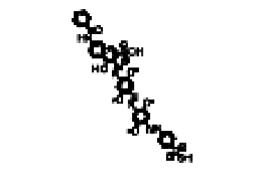 COc1cc(N=Nc2cc(OC)c(N=Nc3c(S(=O)(=O)O)cc4cc(NC(=O)c5ccccc5)ccc4c3O)cc2OC)c(OC)cc1N=Nc1ccc(S(=O)(=O)O)cc1